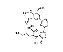 CCCCC(Oc1cc(-c2cccc(-c3cc(OC)c(OC)c(OC)c3)n2)ccc1OC)C(=O)NO